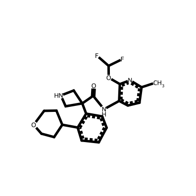 Cc1ccc(NC(=O)C2(c3ccccc3C3CCOCC3)CNC2)c(OC(F)F)n1